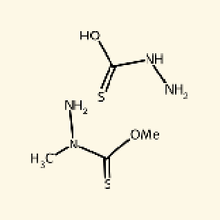 COC(=S)N(C)N.NNC(O)=S